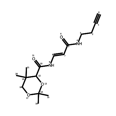 C#CCCNC(=O)/C=C/NC(=O)C1OC(C)(C)OCC1(C)C